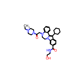 CCN1CCN(C(=O)CN2CCn3c(c(C4CCCCC4)c4ccc(C(=O)NCCO)cc43)-c3ccccc32)CC1